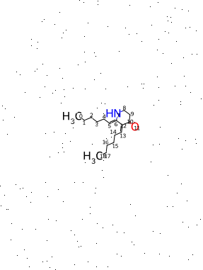 CCCCCC=C1NCCC(=O)C1=CCCCCC